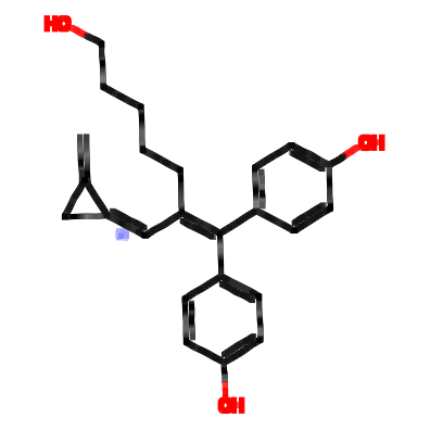 C=C1C/C1=C/C(CCCCCO)=C(c1ccc(O)cc1)c1ccc(O)cc1